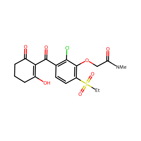 CCS(=O)(=O)c1ccc(C(=O)C2=C(O)CCCC2=O)c(Cl)c1OCC(=O)NC